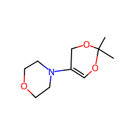 CC1(C)OC=C(N2CCOCC2)CO1